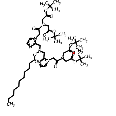 CCCCCCCCCCC(=O)ON(Cc1nccn1CC(=O)N(CC(=O)OC(C)(C)C)CC(=O)OC(C)(C)C)Cc1nccn1CC(=O)N(CC(=O)OC(C)(C)C)CC(=O)OC(C)(C)C